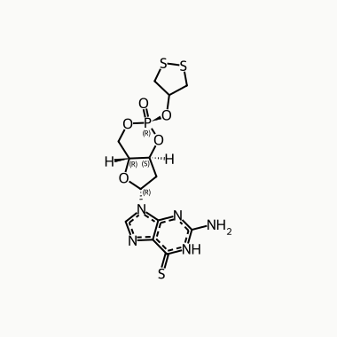 Nc1nc2c(ncn2[C@H]2C[C@@H]3O[P@](=O)(OC4CSSC4)OC[C@H]3O2)c(=S)[nH]1